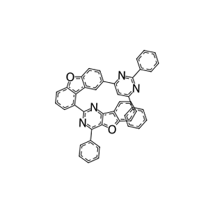 c1ccc(-c2cc(-c3ccc4oc5cccc(-c6nc(-c7ccccc7)c7oc8ccccc8c7n6)c5c4c3)nc(-c3ccccc3)n2)cc1